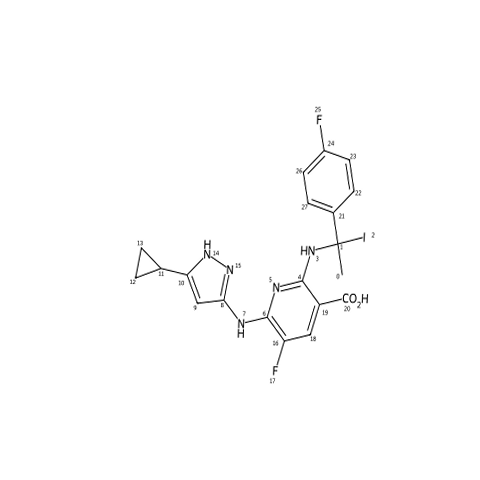 CC(I)(Nc1nc(Nc2cc(C3CC3)[nH]n2)c(F)cc1C(=O)O)c1ccc(F)cc1